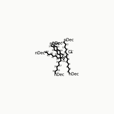 CCCCCCCCCCCCCCCCC(CCCCCCCCCCCCCCCC)[N+](C)(CCCCCCCCCCCCCCCC)C(CCCCCCCCCCCCCCCC)(CCCCCCCCCCCCCCCC)CCCCCCCCCCCCCCCC.[Cl-]